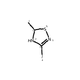 CC1NC(I)=NS1